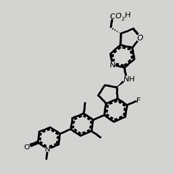 Cc1cc(-c2ccc(=O)n(C)c2)cc(C)c1-c1ccc(F)c2c1CC[C@H]2Nc1cc2c(cn1)[C@H](CC(=O)O)CO2